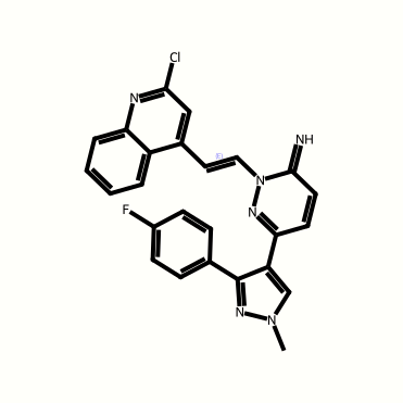 Cn1cc(-c2ccc(=N)n(/C=C/c3cc(Cl)nc4ccccc34)n2)c(-c2ccc(F)cc2)n1